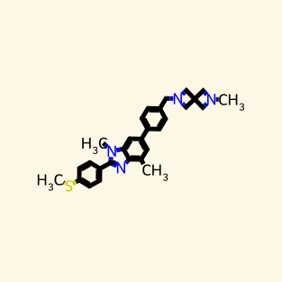 CSc1ccc(-c2nc3c(C)cc(-c4ccc(CN5CC6(CN(C)C6)C5)cc4)cc3n2C)cc1